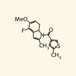 COC1=CCC2C(=C1F)[C]=C(C)N2C(=O)c1csc(C)c1